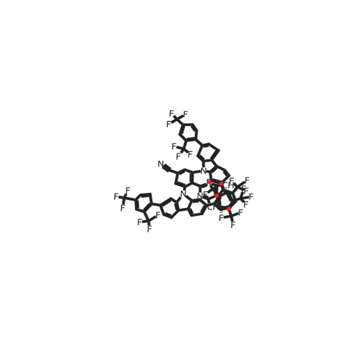 Cc1cc(C)nc(-c2c(-n3c4cc(-c5ccc(C(F)(F)F)cc5C(F)(F)F)ccc4c4ccc(-c5ccc(C(F)(F)F)cc5C(F)(F)F)cc43)cc(C#N)cc2-n2c3cc(-c4ccc(C(F)(F)F)cc4C(F)(F)F)ccc3c3ccc(-c4ccc(C(F)(F)F)cc4C(F)(F)F)cc32)n1